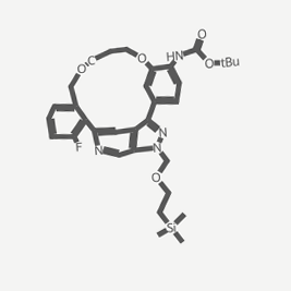 CC(C)(C)OC(=O)Nc1ccc2cc1OCCCOCc1cccc(F)c1-c1cc3c-2nn(COCC[Si](C)(C)C)c3cn1